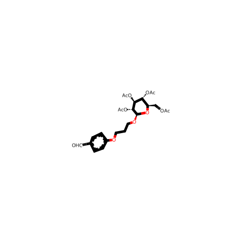 CC(=O)OC[C@H]1O[C@@H](OCCCOc2ccc(C=O)cc2)[C@H](OC(C)=O)[C@@H](OC(C)=O)[C@@H]1OC(C)=O